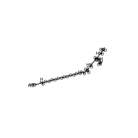 CC1CC(=O)N(CCC(=O)NCCCC[C@@H](NC(=O)CCN2C(=O)CC(C)C2=O)C(=O)NCCCCCCNC(=O)CCSC2CC(=O)N(CCC(=O)NCCOCCOCCOCCOCCOCCOCCOCCOCCOCCOCCOCCOCCC(=O)NCCCCCCOPO)C2=O)C1=O